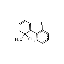 CC1(C)CC=CC=C1c1ccccc1F